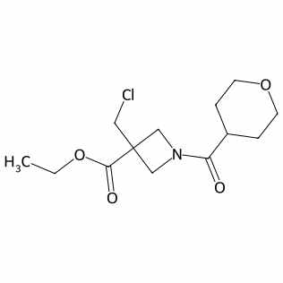 CCOC(=O)C1(CCl)CN(C(=O)C2CCOCC2)C1